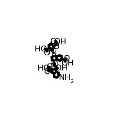 Nc1ccc2cc(S(=O)(=O)O)c(N=Nc3ccc(N=Nc4cc(S(=O)(=O)O)ccc4C(=O)O)c4ccc(C(=O)O)cc34)c(O)c2c1